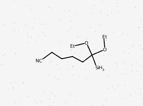 CCOC([SiH3])(CCCCC#N)OCC